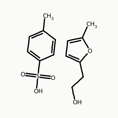 Cc1ccc(CCO)o1.Cc1ccc(S(=O)(=O)O)cc1